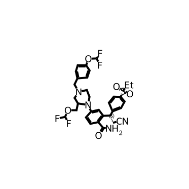 CCS(=O)(=O)c1ccc([C@H](CC#N)c2cc(N3CCN(Cc4ccc(OC(F)F)cc4)CC3COC(F)F)ccc2C(N)=O)cc1